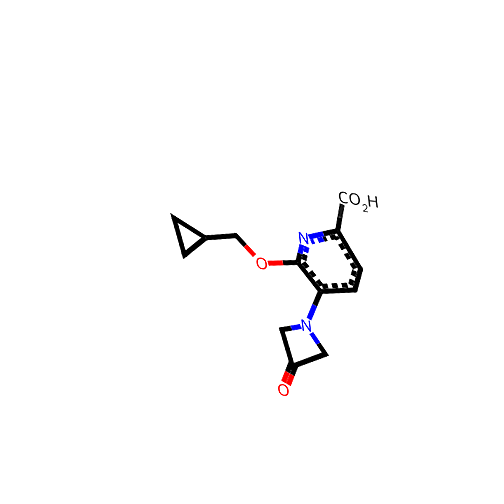 O=C1CN(c2ccc(C(=O)O)nc2OCC2CC2)C1